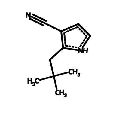 CC(C)(C)Cc1[nH]ccc1C#N